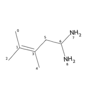 CC(C)=C(C)CC(N)N